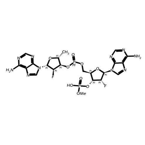 COP(=O)(O)O[C@H]1[C@@H](F)[C@H](n2cnc3c(N)ncnc32)O[C@@H]1CO[PH](=O)O[C@H]1[C@@H](F)[C@H](n2cnc3c(N)ncnc32)O[C@@H]1C